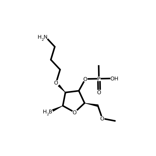 B[C@@H]1O[C@H](COC)C(OP(C)(=O)O)[C@@H]1OCCCN